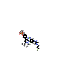 C[C@@H]1Cc2c([nH]c3ccc(OS(=O)(=O)C(F)(F)F)cc23)[C@@H](c2c(F)cc(NC3CN(CCCF)C3)cc2F)N1CC(F)(F)F